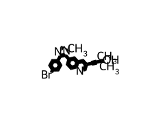 Cn1cnc(-c2ccc(Br)cc2)c1-c1ccc2ncc(C#CC(C)(C)O)cc2c1